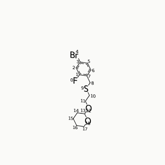 Fc1cc(Br)ccc1CSCCOC1CCCCO1